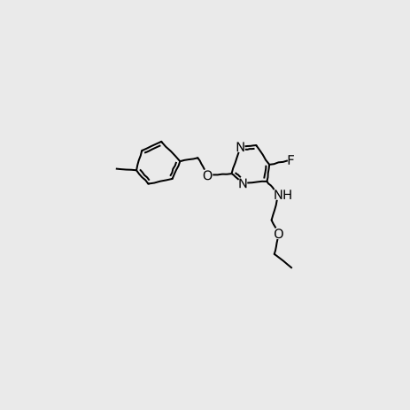 CCOCNc1nc(OCc2ccc(C)cc2)ncc1F